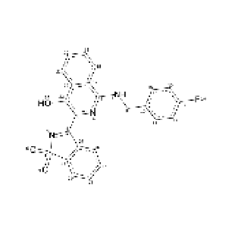 O=S1(=O)N=C(c2nc(NCc3ccc(F)cc3)c3ccccc3c2O)c2ccccc21